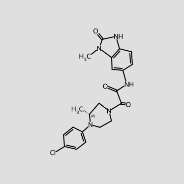 C[C@@H]1CN(C(=O)C(=O)Nc2ccc3[nH]c(=O)n(C)c3c2)CCN1c1ccc(Cl)cc1